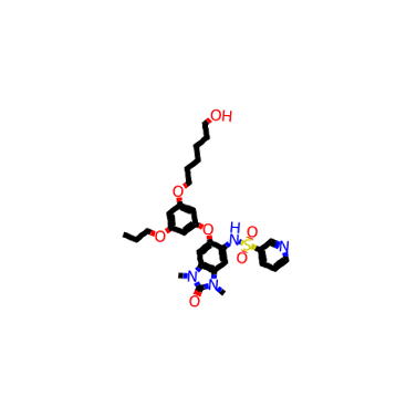 CCCOc1cc(OCCCCCCO)cc(Oc2cc3c(cc2NS(=O)(=O)c2cccnc2)n(C)c(=O)n3C)c1